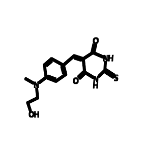 CN(CCO)c1ccc(C=C2C(=O)NC(=S)NC2=O)cc1